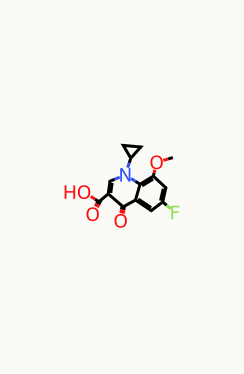 COc1cc(F)cc2c(=O)c(C(=O)O)cn(C3CC3)c12